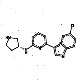 Clc1ccc2ncc(-c3cccc(N[C@@H]4CCNC4)n3)n2c1